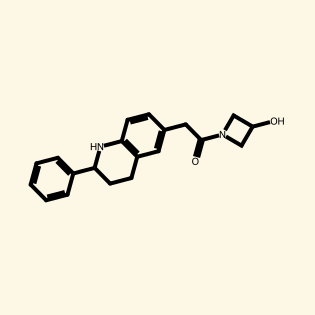 O=C(Cc1ccc2c(c1)CCC(c1ccccc1)N2)N1CC(O)C1